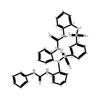 O=C(Nc1ccccc1)Nc1ccccc1OS(=O)(=O)c1cccc(S(=O)(=O)Oc2ccccc2NC(=O)Nc2ccccc2)c1